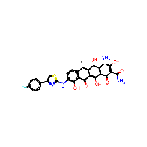 C[C@H]1c2ccc(Nc3nc(-c4ccc(F)cc4)cs3)c(O)c2C(=O)C2=C(O)C3C(=O)C(C(N)=O)=C(O)[C@@H](N)C3[C@@H](O)C21